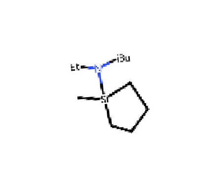 CCC(C)N(CC)[Si]1(C)CCCC1